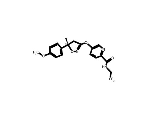 C[C@@]1(c2ccc(OC(F)(F)F)cc2)CC(Oc2ccc(C(=O)NCC(F)(F)F)nc2)=NO1